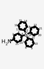 Nc1ccc(S(c2ccccc2)(c2ccccc2)c2ccccc2)cc1